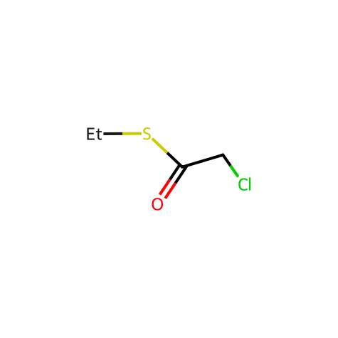 [CH2]CSC(=O)CCl